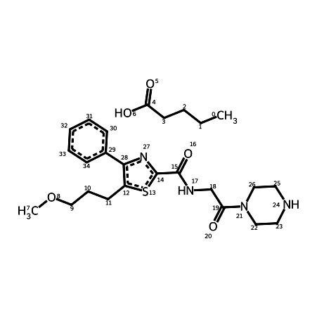 CCCCC(=O)O.COCCCc1sc(C(=O)NCC(=O)N2CCNCC2)nc1-c1ccccc1